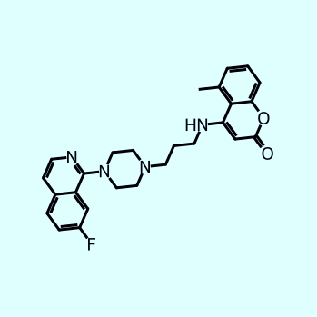 Cc1cccc2oc(=O)cc(NCCCN3CCN(c4nccc5ccc(F)cc45)CC3)c12